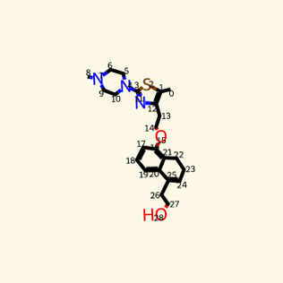 Cc1sc(N2CCN(C)CC2)nc1CCOc1cccc2c1CCC=C2CCO